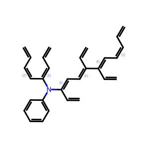 C=C\C=C/C=C(C=C)/C(C=C)=C/C=C(\C=C)N(C(/C=C\C=C)=C/C=C)c1ccccc1